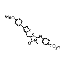 COc1ccc(-c2csc(/C=C3\S/C(=N/c4ccc(C(=O)O)cc4)N(C)C3=O)c2)cc1